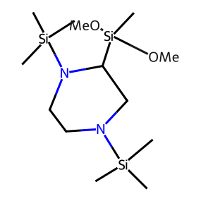 CO[Si](C)(OC)C1CN([Si](C)(C)C)CCN1[Si](C)(C)C